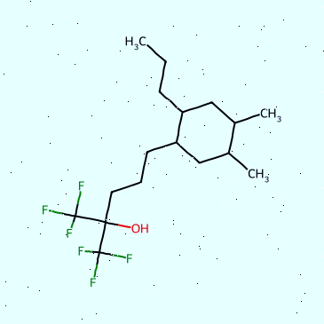 CCCC1CC(C)C(C)CC1CCCC(O)(C(F)(F)F)C(F)(F)F